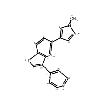 Cn1cc(-c2ccc3scc(-c4ccncc4)c3n2)cn1